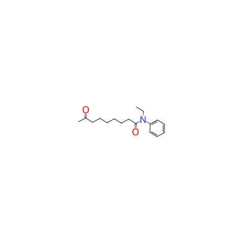 CCN(C(=O)CCCCCCC(C)=O)c1ccccc1